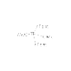 CCCC[CH2][Ti]([CH2]CCCC)([O]C)[O]C